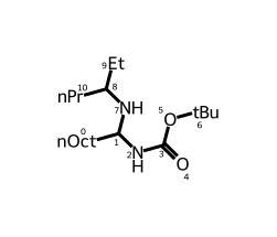 CCCCCCCCC(NC(=O)OC(C)(C)C)NC(CC)CCC